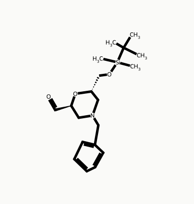 CC(C)(C)[Si](C)(C)OC[C@@H]1CN(Cc2ccccc2)C[C@@H](C=O)O1